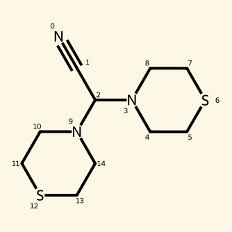 N#CC(N1CCSCC1)N1CCSCC1